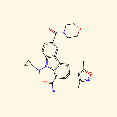 Cc1noc(C)c1-c1cc(C(N)=O)c2c(c1)c1cc(C(=O)N3CCOCC3)ccc1n2NC1CC1